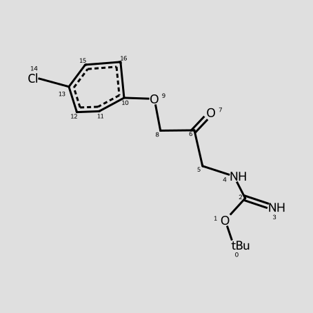 CC(C)(C)OC(=N)NCC(=O)COc1ccc(Cl)cc1